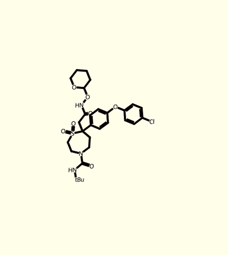 CC(C)(C)NC(=O)N1CCC(CC(=O)NOC2CCCCO2)(c2ccc(Oc3ccc(Cl)cc3)cc2)S(=O)(=O)CC1